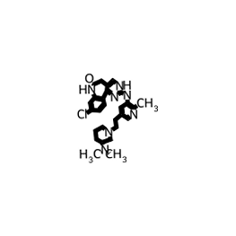 Cc1ncc(CCN2CCCC(N(C)C)C2)cc1Nc1ncc2c(n1)-c1ccc(Cl)cc1NC(=O)C2